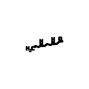 C=CCNCCCNCC1CO1